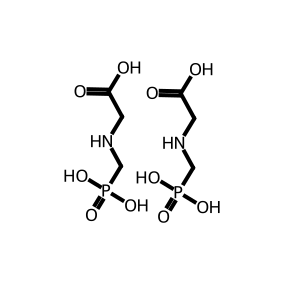 O=C(O)CNCP(=O)(O)O.O=C(O)CNCP(=O)(O)O